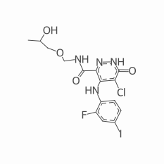 CC(O)COCNC(=O)c1n[nH]c(=O)c(Cl)c1Nc1ccc(I)cc1F